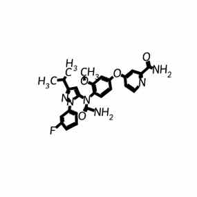 COc1cc(Oc2ccnc(C(N)=O)c2)ccc1N(C(N)=O)c1cc(C(C)C)nn1-c1cccc(F)c1